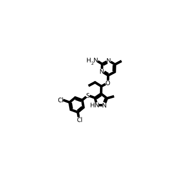 CCC(Oc1cc(C)nc(N)n1)c1c(C)n[nH]c1Sc1cc(Cl)cc(Cl)c1